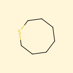 C1CCCSCCC1